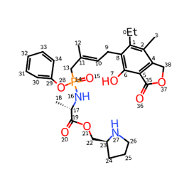 CCc1c(C)c2c(c(O)c1C/C=C(\C)CP(=O)(N[C@@H](C)C(=O)OC[C@@H]1CCCN1)Oc1ccccc1)C(=O)OC2